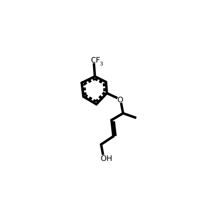 CC(C=CCO)Oc1cccc(C(F)(F)F)c1